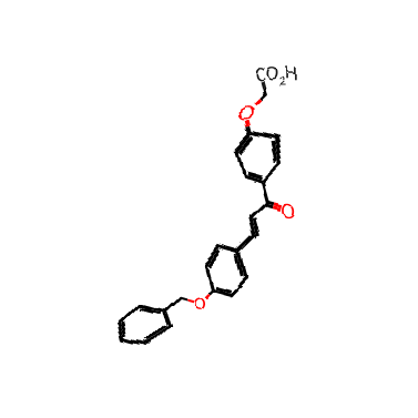 O=C(O)COc1ccc(C(=O)/C=C/c2ccc(OCc3ccccc3)cc2)cc1